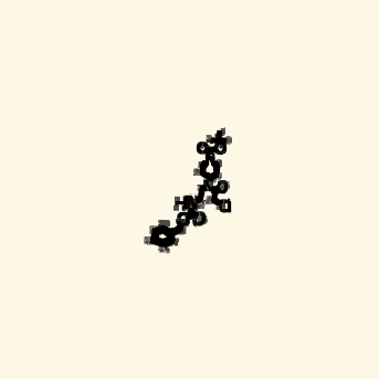 CC(C)(C)OC(=O)N1CCC(N(CCNC(=O)OCc2ccccc2)C(=O)CCl)CC1